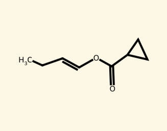 CCC=COC(=O)C1CC1